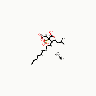 CCCCCCCCCC(CCC(C)C)C(CC(=O)[O-])(C(=O)[O-])S(=O)(=O)[O-].[Na+].[Na+].[Na+]